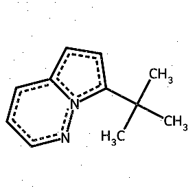 CC(C)(C)c1ccc2cccnn12